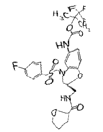 CC(C)(OC(=O)Nc1ccc2c(c1)N(S(=O)(=O)c1ccc(F)cc1)C[C@H](CNC(=O)C1CCCO1)O2)C(F)(F)F